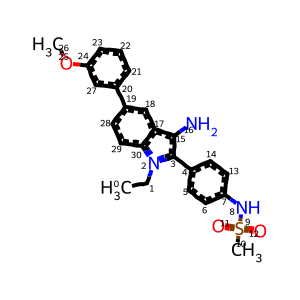 CCn1c(-c2ccc(NS(C)(=O)=O)cc2)c(N)c2cc(-c3cccc(OC)c3)ccc21